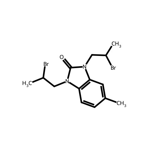 Cc1ccc2c(c1)n(CC(C)Br)c(=O)n2CC(C)Br